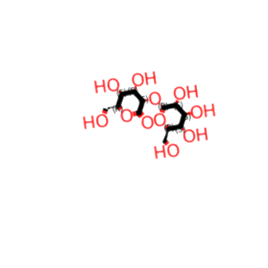 O=C1O[C@H](CO)[C@@H](O)[C@H](O)[C@@H]1O[C@H]1O[C@H](CO)[C@@H](O)[C@H](O)[C@@H]1O